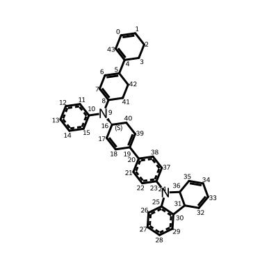 C1=CCCC(C2=CC=C(N(c3ccccc3)[C@@H]3C=CC(c4ccc(N5c6ccccc6C6C=CC=CC65)cc4)=CC3)CC2)=C1